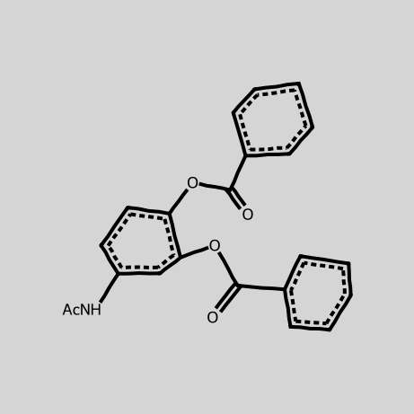 CC(=O)Nc1ccc(OC(=O)c2ccccc2)c(OC(=O)c2ccccc2)c1